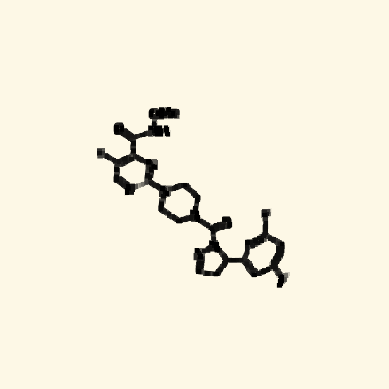 CONC(=O)c1nc(N2CCN(C(=O)N3N=CCC3c3cc(F)cc(F)c3)CC2)ncc1F